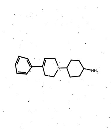 NC1CCC(N2CC=C(c3ccccc3)CC2)CC1